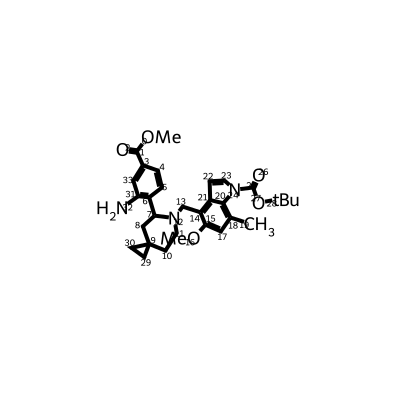 COC(=O)c1ccc(C2CC3(CCN2Cc2c(OC)cc(C)c4c2ccn4C(=O)OC(C)(C)C)CC3)c(N)c1